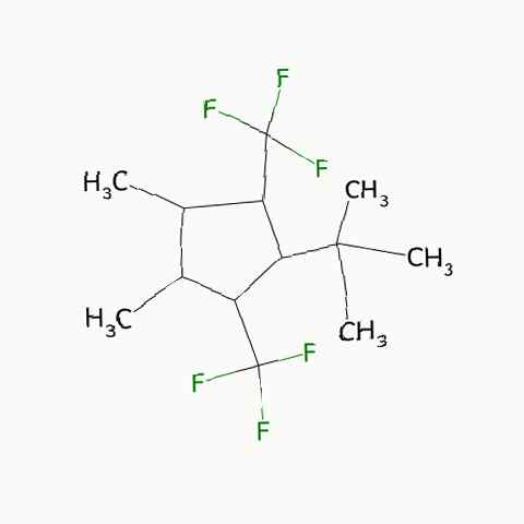 CC1C(C)C(C(F)(F)F)C(C(C)(C)C)C1C(F)(F)F